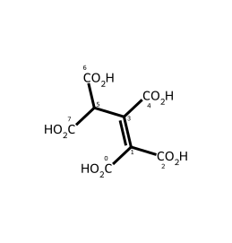 O=C(O)C(C(=O)O)=C(C(=O)O)C(C(=O)O)C(=O)O